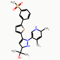 CC1C=C(C(F)(F)F)C(N2NC(C(C)(C)O)C=C2c2ccc(-c3cccc(S(C)(=O)=O)c3)s2)=CN1